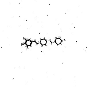 C[C@H]1CC[C@H](CC[C@H]2CC[C@H](CCc3cc(F)c(F)c(F)c3)CC2)CC1